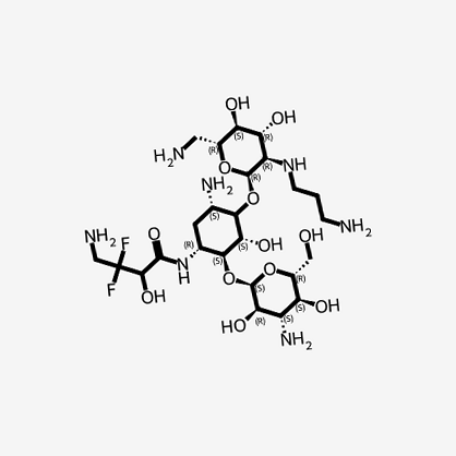 NCCCN[C@H]1[C@@H](OC2[C@@H](N)C[C@@H](NC(=O)C(O)C(F)(F)CN)[C@H](O[C@H]3O[C@H](CO)[C@@H](O)[C@H](N)[C@H]3O)[C@H]2O)O[C@H](CN)[C@@H](O)[C@@H]1O